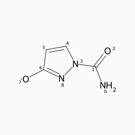 NC(=O)n1ccc([O])n1